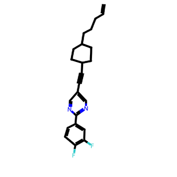 C=CCCCC1CCC(C#Cc2cnc(-c3ccc(F)c(F)c3)nc2)CC1